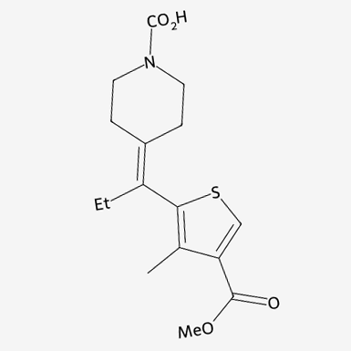 CCC(=C1CCN(C(=O)O)CC1)c1scc(C(=O)OC)c1C